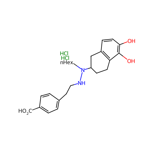 CCCCCCN(NCCc1ccc(C(=O)O)cc1)C1CCc2c(ccc(O)c2O)C1.Cl.Cl